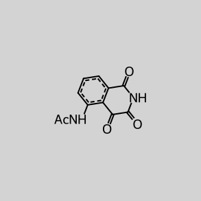 CC(=O)Nc1cccc2c1C(=O)C(=O)NC2=O